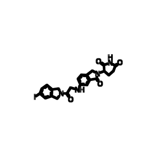 O=C1CCC(N2Cc3ccc(NCC(=O)N4Cc5ccc(I)cc5C4)cc3C2=O)C(=O)N1